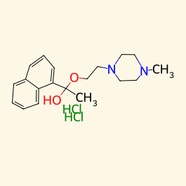 CN1CCN(CCOC(C)(O)c2cccc3ccccc23)CC1.Cl.Cl